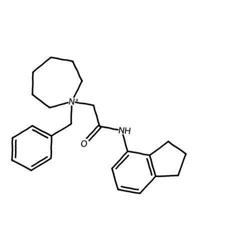 O=C(C[N+]1(Cc2ccccc2)CCCCCC1)Nc1cccc2c1CCC2